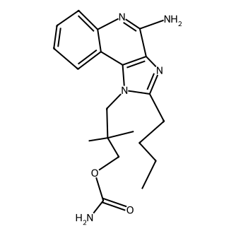 CCCCc1nc2c(N)nc3ccccc3c2n1CC(C)(C)COC(N)=O